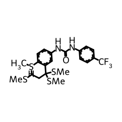 CSC1CC(SC)(SC)c2cc(NC(=O)Nc3ccc(C(F)(F)F)cc3)ccc2[SH]1C